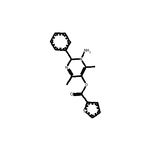 CC1=NC(c2ccccc2)N(N)C(C)=C1OC(=O)c1cccs1